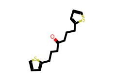 O=C(CCCc1cccs1)CCCc1cccs1